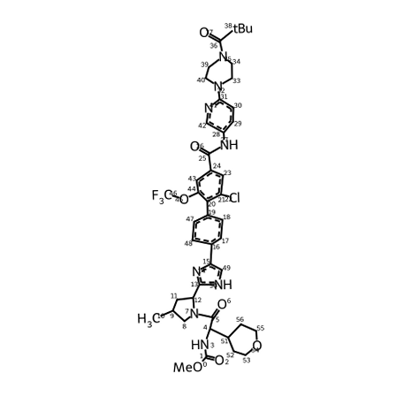 COC(=O)NC(C(=O)N1CC(C)CC1c1nc(-c2ccc(-c3c(Cl)cc(C(=O)Nc4ccc(N5CCN(C(=O)C(C)(C)C)CC5)nc4)cc3OC(F)(F)F)cc2)c[nH]1)C1CCOCC1